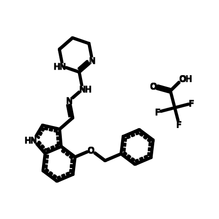 C(=NNC1=NCCCN1)c1c[nH]c2cccc(OCc3ccccc3)c12.O=C(O)C(F)(F)F